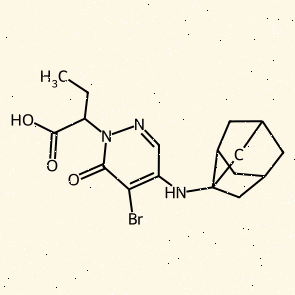 CCC(C(=O)O)n1ncc(NC23CC4CC(CC2C4)C3)c(Br)c1=O